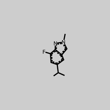 CC(C)c1cc(F)c2nn(C)cc2c1